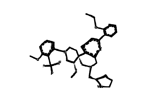 CCOc1ccccc1-c1ccc2c(n1)CN(C[C@H]1CCCN1)C[C@]21CCN(c2cccc(OC)c2C(F)(F)F)C[C@H]1CC